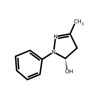 CC1=NN(c2ccccc2)[C@@H](O)C1